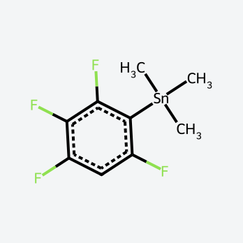 [CH3][Sn]([CH3])([CH3])[c]1c(F)cc(F)c(F)c1F